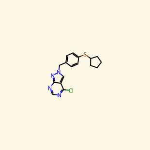 Clc1ncnc2nn(Cc3ccc(SC4CCCC4)cc3)cc12